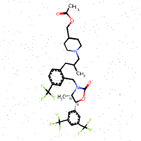 CC(=O)OCC1CCN(CC(C)Cc2ccc(C(F)(F)F)cc2CN2C(=O)O[C@H](c3cc(C(F)(F)F)cc(C(F)(F)F)c3)[C@@H]2C)CC1